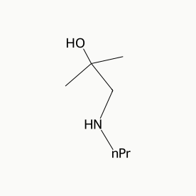 CCCNCC(C)(C)O